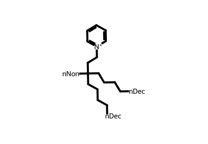 CCCCCCCCCCCCCCC(CCCCCCCCC)(CCCCCCCCCCCCCC)CC[n+]1ccccc1